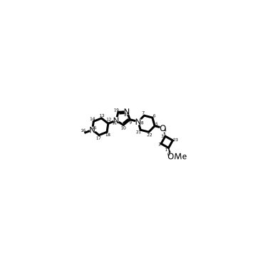 CO[C@H]1C[C@H](OC2CCN(c3cn(C4CCN(C)CC4)cn3)CC2)C1